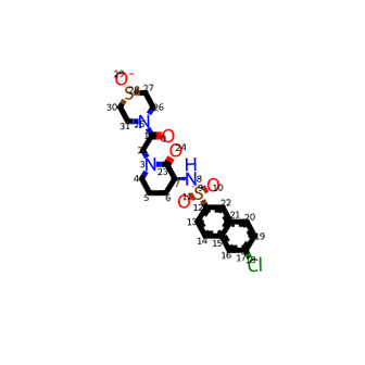 O=C(CN1CCC[C@H](NS(=O)(=O)c2ccc3cc(Cl)ccc3c2)C1=O)N1CC[S+]([O-])CC1